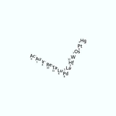 [Ac].[Au].[Hf].[Hg].[Ir].[La].[Lu].[Os].[Pd].[Pt].[Re].[Ta].[W]